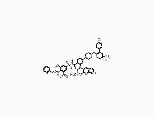 C[C@@H]1CN(c2cc(N3CCN(CC4=C(c5ccc(Cl)cc5)CC(C)(C)CC4)CC3)ccc2C(=O)NS(=O)(=O)c2cc3c(c([N+](=O)[O-])c2)N[C@@H](Cc2ccccn2)CO3)c2cc3cc[nH]c3nc2O1